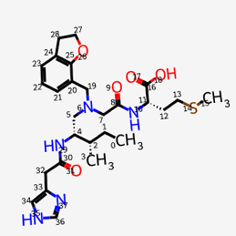 CC[C@H](C)[C@@H](CN(CC(=O)N[C@@H](CCSC)C(=O)O)Cc1cccc2c1OCC2)NC(=O)Cc1c[nH]cn1